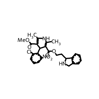 COC(=O)C1=C(C)NC(C)=C(C(=O)OCCC2NCc3ccccc32)C1c1c(Cl)cccc1[N+](=O)[O-]